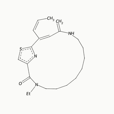 C=C1/C=C(\C=C/C)c2nc(cs2)C(=O)N(CC)CCCCCCCCN1